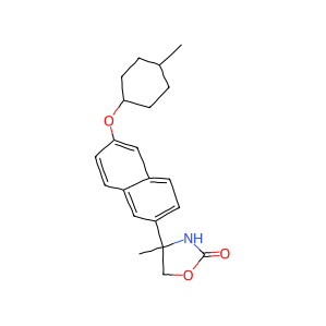 CC1CCC(Oc2ccc3cc(C4(C)COC(=O)N4)ccc3c2)CC1